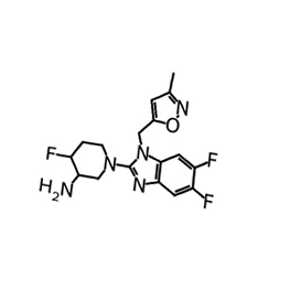 Cc1cc(Cn2c(N3CCC(F)C(N)C3)nc3cc(F)c(F)cc32)on1